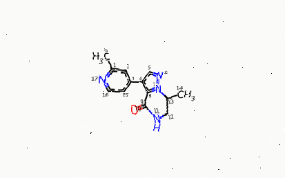 Cc1cc(-c2cnn3c2C(=O)NCC3C)ccn1